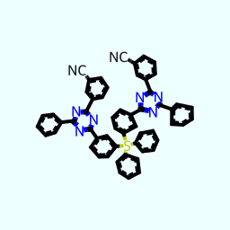 N#Cc1cccc(-c2nc(-c3ccccc3)nc(-c3cccc(S(c4ccccc4)(c4ccccc4)c4cccc(-c5nc(-c6ccccc6)nc(-c6cccc(C#N)c6)n5)c4)c3)n2)c1